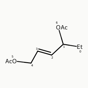 CCC(C=CCOC(C)=O)OC(C)=O